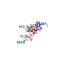 CSCCC(N)C(=O)OC[C@H]1O[C@@H](n2cnc3c(N)ncnc32)[C@H](O)[C@@H]1O.O=C(O)CC(C(=O)O)S(=O)(=O)O